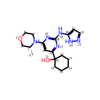 C[C@@H]1COCCN1c1cc(C2(O)CCCCC2)nc(Nc2ccn[nH]2)n1